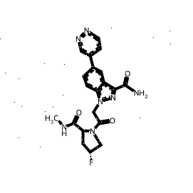 CNC(=O)C1C[C@@H](F)CN1C(=O)Cn1nc(C(N)=O)c2cc(-c3ccnnc3)ccc21